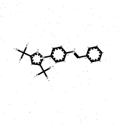 FC(F)(F)c1cc(C(F)(F)F)n(-c2ccc(N=Cc3ccccc3)cc2)n1